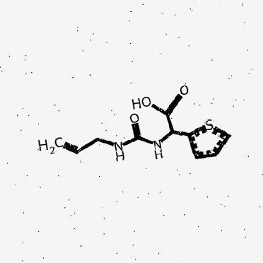 C=CCNC(=O)NC(C(=O)O)c1cccs1